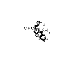 C=CC[C@@]1(C=O)CC(=O)N([C@H](C)c2ccccc2)C1